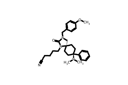 COc1ccc(CN2C[C@]3(CC[C@](c4ccccc4)(N(C)C)CC3)N(CCCCC#N)C2=O)cc1